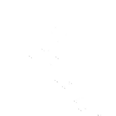 C#Cc1cccc(-c2nc(N)c(F)c(-c3cn(Cc4cc(OC)n(C)n4)nn3)n2)c1C